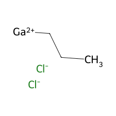 CC[CH2][Ga+2].[Cl-].[Cl-]